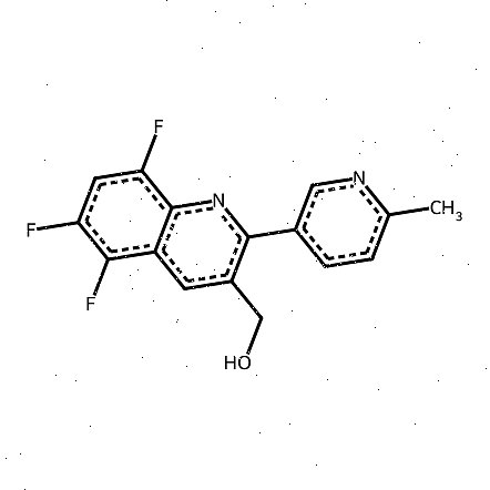 Cc1ccc(-c2nc3c(F)cc(F)c(F)c3cc2CO)cn1